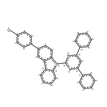 Clc1ccc(-c2ccc3c(c2)c2ccccc2n3-c2nc(-c3ccccc3)cc(-c3ccccc3)n2)cc1